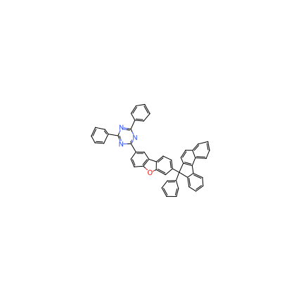 c1ccc(-c2nc(-c3ccccc3)nc(-c3ccc4oc5cc(C6(c7ccccc7)c7ccccc7-c7c6ccc6ccccc76)ccc5c4c3)n2)cc1